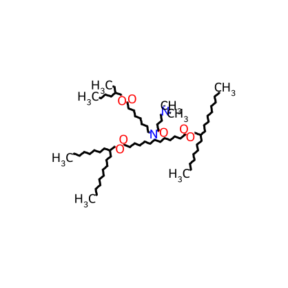 CCCCCCCCCCC(CCCCCCCC)COC(=O)CCCCCC(CCCCCC(=O)OCC(CCCCCCCC)CCCCCCCCCC)N(CCCCCCCC(=O)OCC(CC)CCCC)C(=O)CCCN(C)C